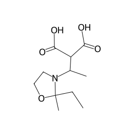 CCC1(C)OCCN1C(C)C(C(=O)O)C(=O)O